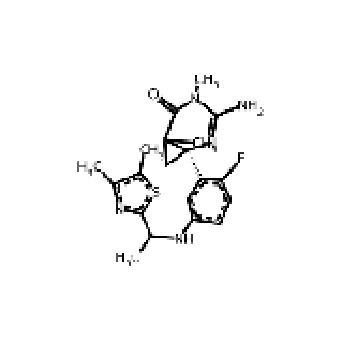 Cc1nc(C(C)Nc2ccc(F)c([C@]34CC3(C)C(=O)N(C)C(N)=N4)c2)sc1C